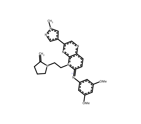 C=C1CCCN1CCn1/c(=N/c2cc(OC)cc(OC)c2)ccc2ncc(-c3cnn(C)c3)nc21